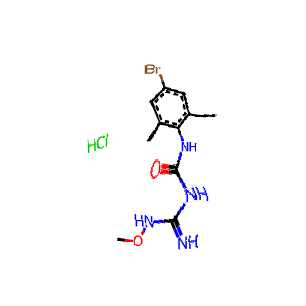 CONC(=N)NC(=O)Nc1c(C)cc(Br)cc1C.Cl